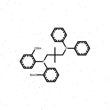 COc1ccccc1P(CC(C)(C)CP(c1ccccc1)c1ccccc1)c1ccccc1OC